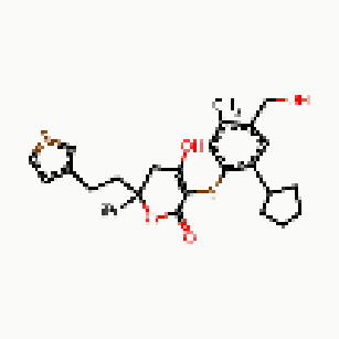 Cc1cc(SC2=C(O)CC(CCc3ccsc3)(C(C)C)OC2=O)c(C2CCCC2)cc1CO